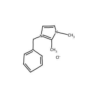 Cc1n(C)cc[n+]1Cc1ccccc1.[Cl-]